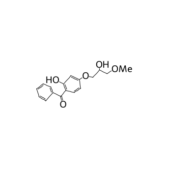 COCC(O)COc1ccc(C(=O)c2ccccc2)c(O)c1